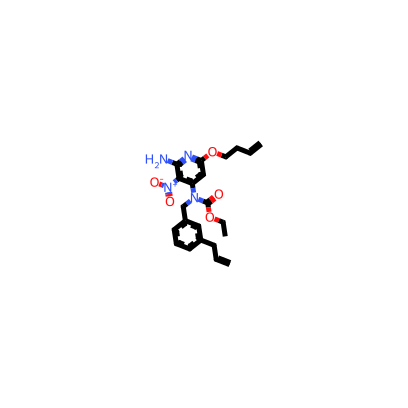 C=CCCOc1cc(N(Cc2cccc(CC=C)c2)C(=O)OCC)c([N+](=O)[O-])c(N)n1